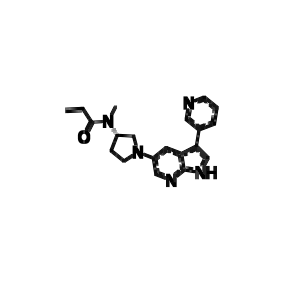 C=CC(=O)N(C)[C@H]1CCN(c2cnc3[nH]cc(-c4cccnc4)c3c2)C1